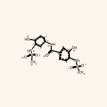 CS(=O)(=O)Nc1ccc(C(=O)Nc2ccc(O)c(NS(C)(=O)=O)c2)cc1O